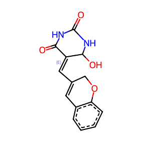 O=C1NC(=O)/C(=C/C2=Cc3ccccc3OC2)C(O)N1